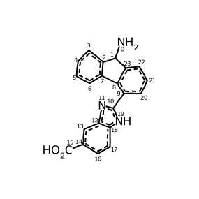 NC1c2ccccc2-c2c(-c3nc4cc(C(=O)O)ccc4[nH]3)cccc21